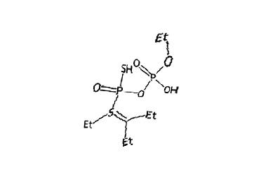 CCOP(=O)(O)OP(=O)(S)S(CC)=C(CC)CC